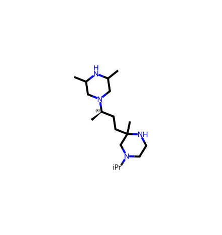 CC1CN([C@H](C)CCC2(C)CN(C(C)C)CCN2)CC(C)N1